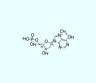 C[n+]1cn([C@H]2C[C@H](O)[C@@H](COP(=O)(O)O)O2)c2ncnc(O)c21